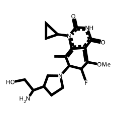 COC1=c2c(=O)[nH]c(=O)n(C3CC3)c2=C(C)C(N2CCC(C(N)CO)C2)C1F